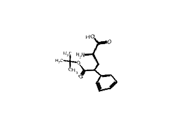 CC(C)(C)OC(=O)C(CC(N)C(=O)O)c1ccccc1